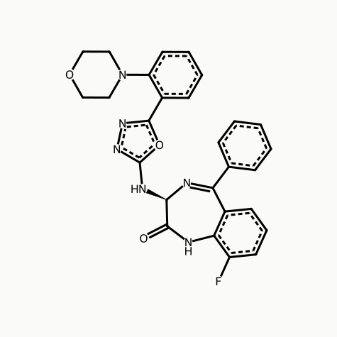 O=C1Nc2c(F)cccc2C(c2ccccc2)=N[C@@H]1Nc1nnc(-c2ccccc2N2CCOCC2)o1